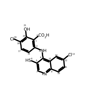 O=C(O)c1c(Nc2c(S)cnc3ccc(Cl)cc23)ccc(Cl)c1O